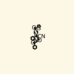 N#Cc1c(N2CCN(C(=O)c3cccs3)CC2)c2ccccc2n(CC(=O)c2ccccc2)c1=O